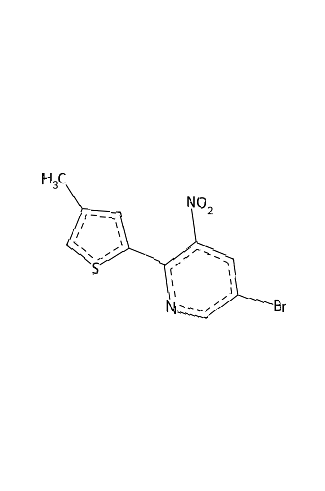 Cc1csc(-c2ncc(Br)cc2[N+](=O)[O-])c1